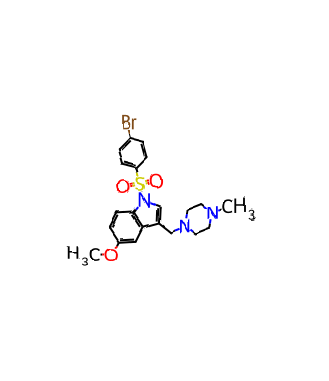 COc1ccc2c(c1)c(CN1CCN(C)CC1)cn2S(=O)(=O)c1ccc(Br)cc1